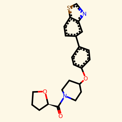 O=C([C@H]1CCCO1)N1CCC(Oc2ccc(-c3ccc4scnc4c3)cc2)CC1